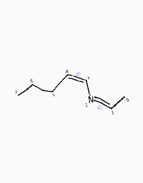 C/C=N\C=C/CCC